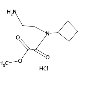 COC(=O)C(=O)N(CCN)C1CCC1.Cl